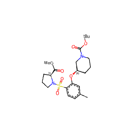 COC(=O)[C@@H]1CCCN1S(=O)(=O)c1ccc(C)cc1O[C@@H]1CCCN(C(=O)OC(C)(C)C)C1